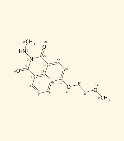 CNN1C(=O)c2cccc3c(OCCOC)ccc(c23)C1=O